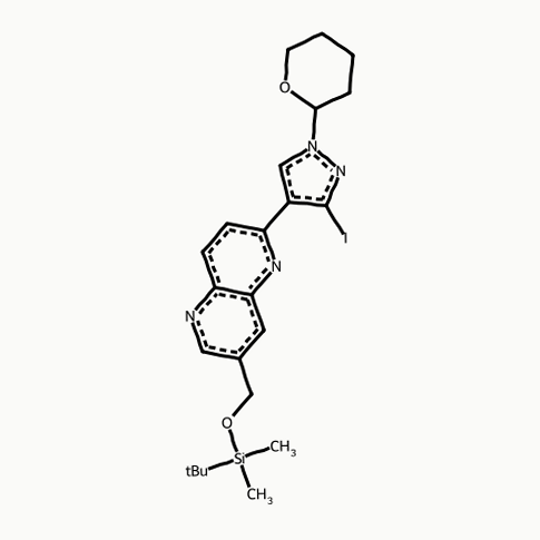 CC(C)(C)[Si](C)(C)OCc1cnc2ccc(-c3cn(C4CCCCO4)nc3I)nc2c1